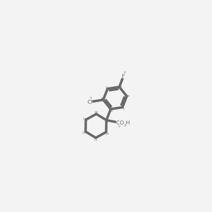 O=C(O)C1(c2ccc(F)cc2Cl)CCCCC1